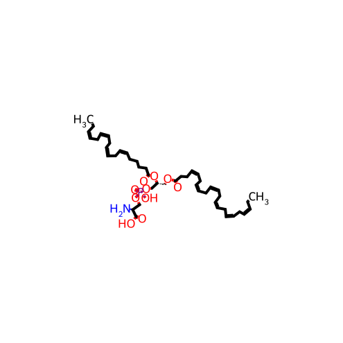 CC/C=C\C/C=C\C/C=C\C/C=C\C/C=C\C/C=C\CCC(=O)OC[C@H](COP(=O)(O)OC[C@H](N)C(=O)O)OC(=O)CCCC/C=C\C/C=C\C/C=C\C/C=C\CC